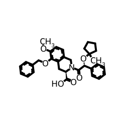 COc1ccc2c(c1OCc1ccccc1)C[C@H](C(=O)O)N(C(=O)[C@H](OC1(C)CCCC1)c1ccccc1)C2